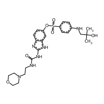 CC(C)(O)CNc1ccc(S(=O)(=O)Oc2ccc3nc(NC(=O)NCCN4CCOCC4)[nH]c3c2)cc1